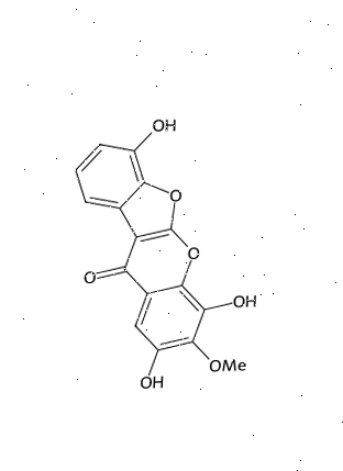 COc1c(O)cc2c(=O)c3c(oc2c1O)oc1c(O)cccc13